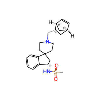 CS(=O)(=O)N[C@H]1CC2(CCN(C[C@H]3C[C@H]4C=C[C@H]3C4)CC2)c2ccccc21